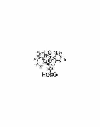 Cc1ccc(S(=O)(=O)n2ccc3cccc([C@@H]4C[C@H]4C(=O)O)c32)cc1